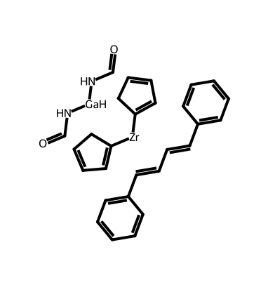 C(C=Cc1ccccc1)=Cc1ccccc1.C1=CC[C]([Zr][C]2=CC=CC2)=C1.O=C[NH][GaH][NH]C=O